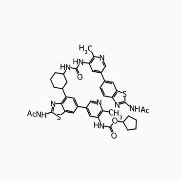 CC(=O)Nc1nc2ccc(-c3cnc(C)c(NC(=O)NC4CCCC(c5cc(-c6cnc(C)c(NC(=O)OC7CCCC7)c6)cc6sc(NC(C)=O)nc56)C4)c3)cc2s1